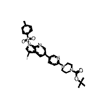 Cc1ccc(S(=O)(=O)n2cc(I)c3cc(-c4ccc(N5CCN(C(=O)OC(C)(C)C)CC5)nc4)cnc32)cc1